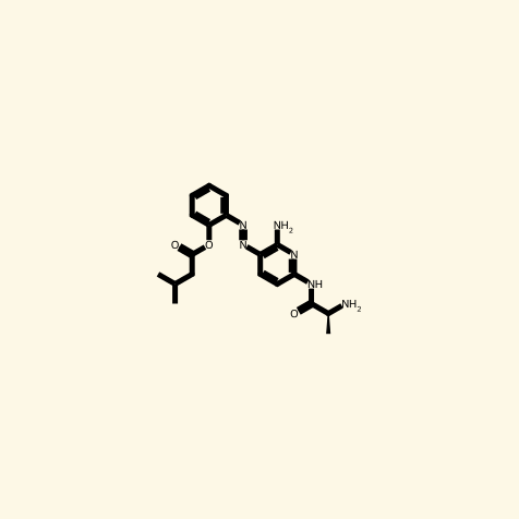 CC(C)CC(=O)Oc1ccccc1/N=N/c1ccc(NC(=O)[C@H](C)N)nc1N